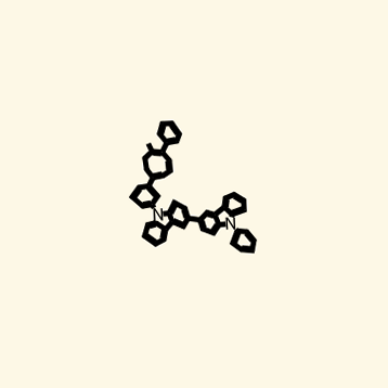 C/C1=C(c2ccccc2)/C=C\C=C(\c2cccc(-n3c4ccccc4c4cc(-c5ccc6c(c5)c5ccccc5n6-c5ccccc5)ccc43)c2)CC1